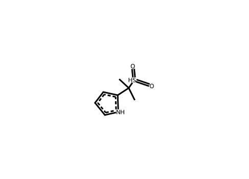 CC(C)(c1ccc[nH]1)[SH](=O)=O